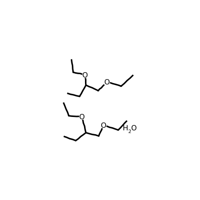 CCOCC(CC)OCC.CCOCC(CC)OCC.O